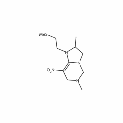 CSCCN1C2=C([N+](=O)[O-])CN(C)CN2CC1C